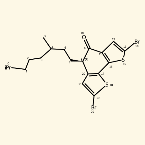 CC(C)CCCC(C)CC[C@H]1C(=O)c2cc(Br)sc2-c2sc(Br)cc21